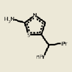 CCCC(c1cnc(N)s1)C(C)C